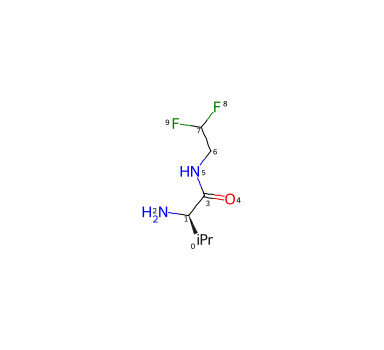 CC(C)[C@@H](N)C(=O)NCC(F)F